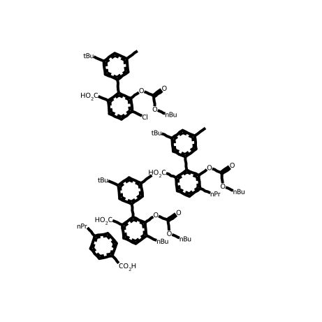 CCCCOC(=O)Oc1c(CCC)ccc(C(=O)O)c1-c1cc(C)cc(C(C)(C)C)c1.CCCCOC(=O)Oc1c(CCCC)ccc(C(=O)O)c1-c1cc(C)cc(C(C)(C)C)c1.CCCCOC(=O)Oc1c(Cl)ccc(C(=O)O)c1-c1cc(C)cc(C(C)(C)C)c1.CCCc1ccc(C(=O)O)cc1